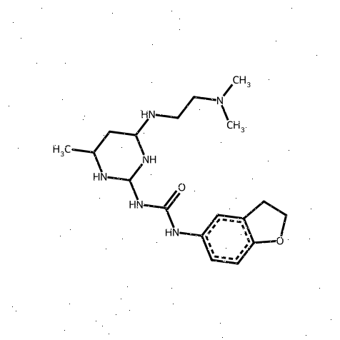 CC1CC(NCCN(C)C)NC(NC(=O)Nc2ccc3c(c2)CCO3)N1